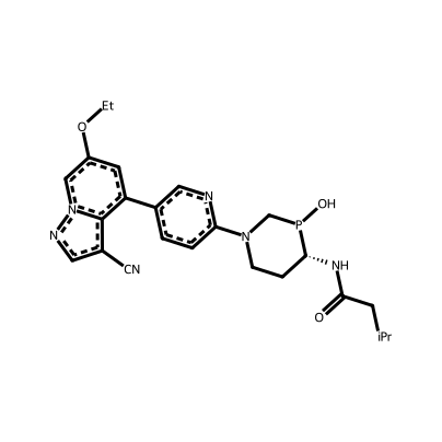 CCOc1cc(-c2ccc(N3CC[C@@H](NC(=O)CC(C)C)P(O)C3)nc2)c2c(C#N)cnn2c1